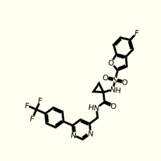 O=C(NCc1cc(-c2ccc(C(F)(F)F)cc2)ncn1)C1(NS(=O)(=O)c2cc3cc(F)ccc3o2)CC1